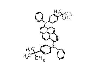 CC(C)(C)c1ccc(N(c2ccccc2)c2c#cc3ccc4c(N(c5ccccc5)c5ccc(C(C)(C)C)cc5)ccc5ccc2c3c54)cc1